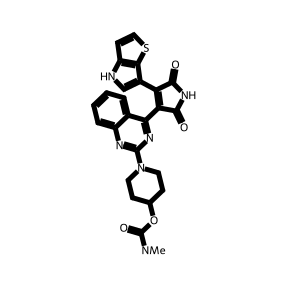 CNC(=O)OC1CCN(c2nc(C3=C(c4c[nH]c5ccsc45)C(=O)NC3=O)c3ccccc3n2)CC1